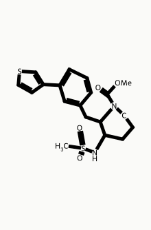 COC(=O)N1CCCC(NS(C)(=O)=O)C1Cc1cccc(-c2ccsc2)c1